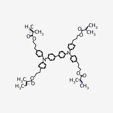 C/C=C(\C)C(=O)OCCCc1ccc(N(c2ccc(CCCOC(=O)/C(C)=C/C)cc2)c2ccc(-c3ccc(N(c4ccc(CCCOC(=O)/C(C)=C/C)cc4)c4ccc(CCCOC(=O)/C(C)=C/C)cc4)cc3)cc2)cc1